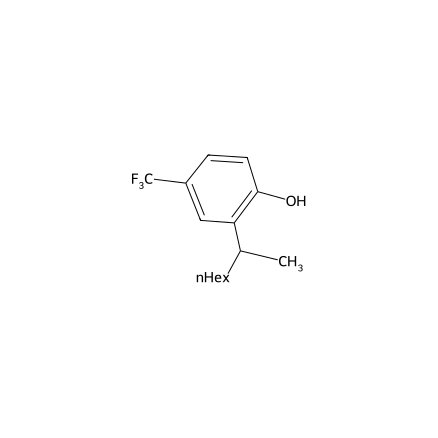 CCCCCCC(C)c1cc(C(F)(F)F)ccc1O